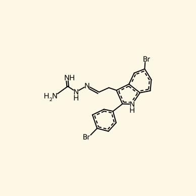 N=C(N)NN=CCc1c(-c2ccc(Br)cc2)[nH]c2ccc(Br)cc12